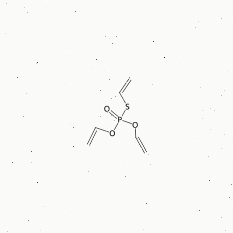 C=COP(=O)(OC=C)SC=C